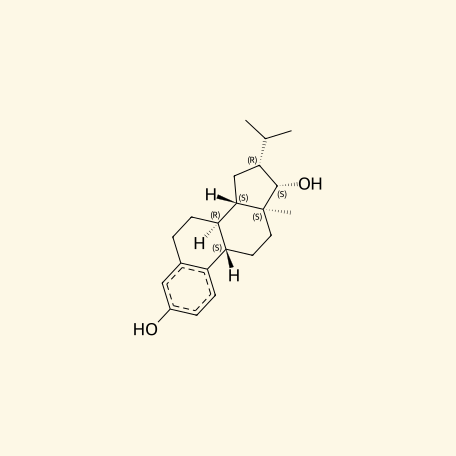 CC(C)[C@H]1C[C@H]2[C@@H]3CCc4cc(O)ccc4[C@H]3CC[C@]2(C)[C@H]1O